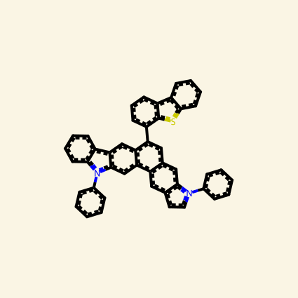 c1ccc(-n2ccc3cc4c(cc(-c5cccc6c5sc5ccccc56)c5cc6c7ccccc7n(-c7ccccc7)c6cc54)cc32)cc1